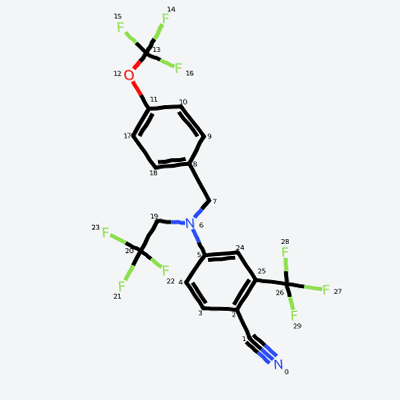 N#Cc1ccc(N(Cc2ccc(OC(F)(F)F)cc2)CC(F)(F)F)cc1C(F)(F)F